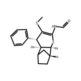 CSC1=C(NC=O)S[C@H]2[C@@H]3CCC(C3)[C@H]2[C@@H]1c1ccccc1